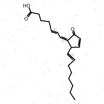 CCCCCC/C=C/C1C=CC(=O)/C1=C\C=C\CCCC(=O)O